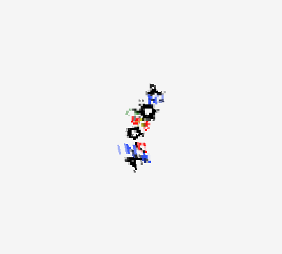 N#CC1(NC(=O)[C@H]2CC[C@@H](S(=O)(=O)c3ccc(-n4cccn4)cc3Cl)C2)CC1